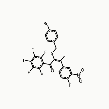 O=C(C(SCc1ccc(Br)cc1)=C(I)c1ccc(F)c([N+](=O)[O-])c1)c1c(F)c(F)c(F)c(F)c1F